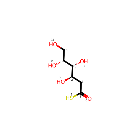 O=C(S)C[C@@H](O)[C@@H](O)[C@H](O)CO